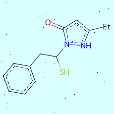 CCc1cc(=O)n(C(S)Cc2ccccc2)[nH]1